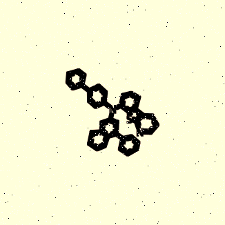 c1ccc(-c2ccc(N(c3cc(-c4ccccc4)c4ccccc4c3)c3cccc4c3sc3ncccc34)cc2)cc1